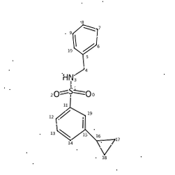 O=S(=O)(NCc1ccccc1)c1cccc(C2CC2)c1